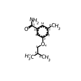 Cc1cc(OCC(C)C)cc(C(N)=O)c1